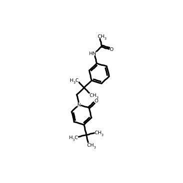 CC(=O)Nc1cccc(C(C)(C)Cn2ccc(C(C)(C)C)cc2=O)c1